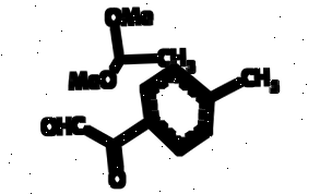 COC(C)OC.Cc1ccc(C(=O)C=O)cc1